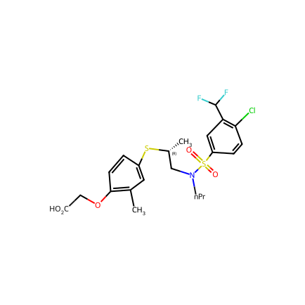 CCCN(C[C@@H](C)Sc1ccc(OCC(=O)O)c(C)c1)S(=O)(=O)c1ccc(Cl)c(C(F)F)c1